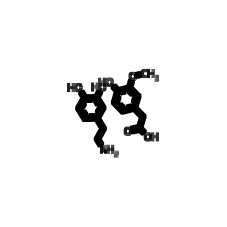 COc1cc(CC(=O)O)ccc1O.NCCc1ccc(O)c(O)c1